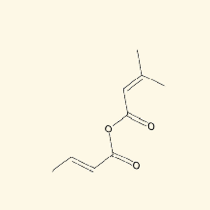 CC=CC(=O)OC(=O)C=C(C)C